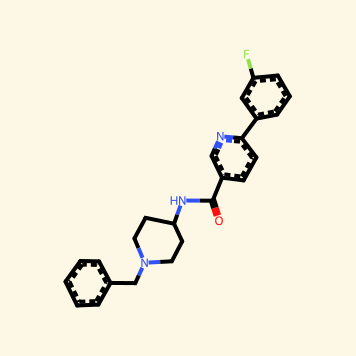 O=C(NC1CCN(Cc2ccccc2)CC1)c1ccc(-c2cccc(F)c2)nc1